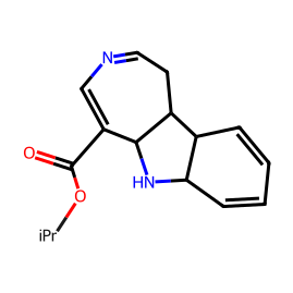 CC(C)OC(=O)C1=CN=CCC2C1NC1C=CC=CC12